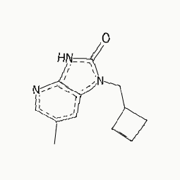 Cc1cnc2[nH]c(=O)n(CC3CCC3)c2c1